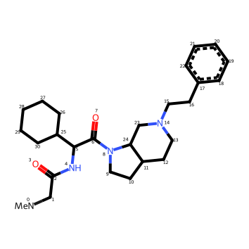 CNCC(=O)NC(C(=O)N1CCC2CCN(CCc3ccccc3)CC21)C1CCCCC1